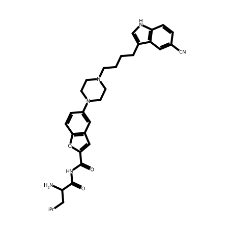 CC(C)CC(N)C(=O)NC(=O)c1cc2cc(N3CCN(CCCCc4c[nH]c5ccc(C#N)cc45)CC3)ccc2o1